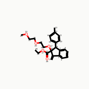 C=C1c2ccccc2C(c2ccc(C)cc2)C1(OCCOCCOC)C(=O)OCC